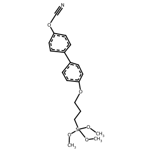 CO[Si](CCCOc1ccc(-c2ccc(OC#N)cc2)cc1)(OC)OC